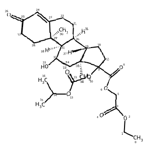 CCOC(=O)COC(=O)C1(OC(=O)OC(C)C)CC[C@H]2[C@@H]3CCC4=CC(=O)CC[C@]4(C)[C@@H]3C(O)C[C@@]21C